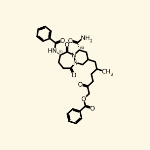 CC(CCC(=O)COC(=O)c1ccccc1)CC1C[C@@H](C(N)=O)N2C(=O)[C@@H](NC(=O)c3ccccc3)CCC(=O)N2C1